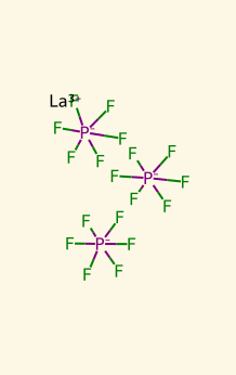 F[P-](F)(F)(F)(F)F.F[P-](F)(F)(F)(F)F.F[P-](F)(F)(F)(F)F.[La+3]